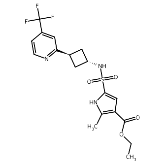 CCOC(=O)c1cc(S(=O)(=O)N[C@H]2C[C@H](c3cc(C(F)(F)F)ccn3)C2)[nH]c1C